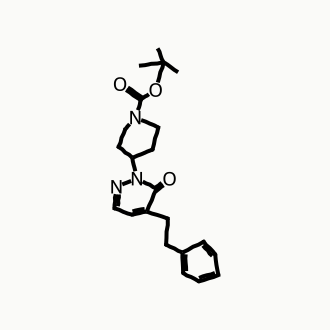 CC(C)(C)OC(=O)N1CCC(n2nccc(CCc3ccccc3)c2=O)CC1